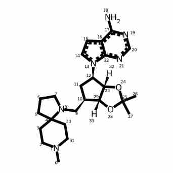 CN1CCC2(CCCN2C[C@H]2C[C@@H](n3ccc4c(N)ncnc43)[C@@H]3OC(C)(C)O[C@H]23)CC1